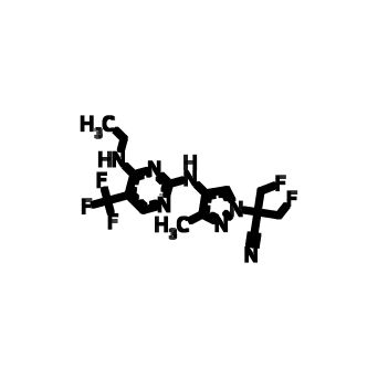 CCNc1nc(Nc2cn(C(C#N)(CF)CF)nc2C)ncc1C(F)(F)F